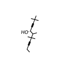 CCC#CC(C)(C)C(C)[C@H](O)C#CC(C)(C)C